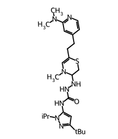 CC(C)n1nc(C(C)(C)C)cc1NC(=O)NNC1CSC(CCc2ccnc(N(C)C)c2)=CN1C